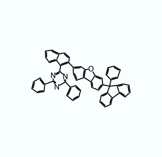 c1ccc(-c2nc(-c3ccccc3)nc(-c3c(-c4ccc5c(c4)oc4cc(C6(c7ccccc7)c7ccccc7-c7ccccc76)ccc45)ccc4ccccc34)n2)cc1